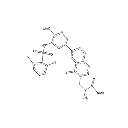 CNC(=O)C(C)Cn1cnc2ccc(-c3cnc(OC)c(NS(=O)(=O)c4c(Cl)cccc4Cl)c3)cc2c1=O